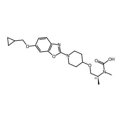 C[C@@H](COC1CCN(c2nc3ccc(OCC4CC4)cc3o2)CC1)N(C)C(=O)O